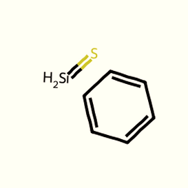 [SiH2]=S.c1ccccc1